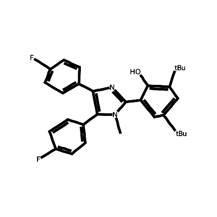 Cn1c(-c2cc(C(C)(C)C)cc(C(C)(C)C)c2O)nc(-c2ccc(F)cc2)c1-c1ccc(F)cc1